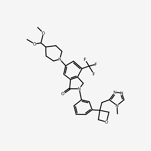 COC(OC)C1CCN(c2cc3c(c(C(F)(F)F)c2)CN(c2cccc(C4(Cc5nncn5C)COC4)c2)C3=O)CC1